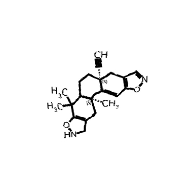 C#C[C@@]12CCC3C(C)(C)C4=C(CNO4)C[C@]3(C)C1=Cc1oncc1C2